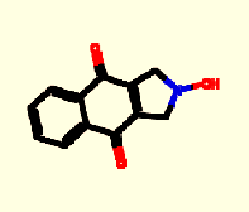 O=C1C2=C(CN(O)C2)C(=O)c2ccccc21